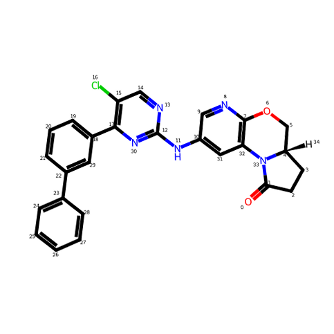 O=C1CC[C@H]2COc3ncc(Nc4ncc(Cl)c(-c5cccc(-c6ccccc6)c5)n4)cc3N12